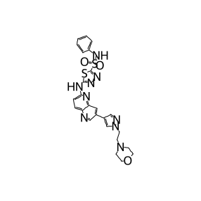 O=S(=O)(Nc1ccccc1)c1nnc(Nc2ccc3ncc(-c4cnn(CCN5CCOCC5)c4)cc3n2)s1